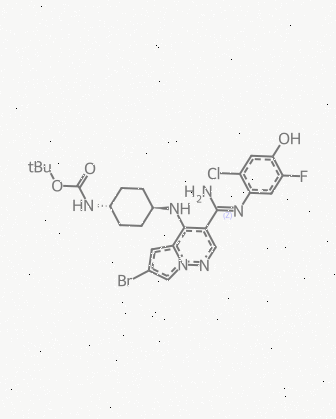 CC(C)(C)OC(=O)N[C@H]1CC[C@H](Nc2c(/C(N)=N/c3cc(F)c(O)cc3Cl)cnn3cc(Br)cc23)CC1